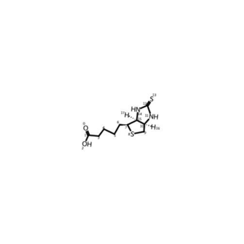 O=C(O)CCCC[C@@H]1SC[C@@H]2NC(=S)N[C@@H]21